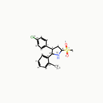 CS(=O)(=O)C1CC(c2ccc(Cl)cc2)C(c2ccccc2C(F)(F)F)N1